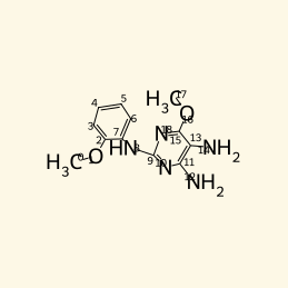 COc1ccccc1Nc1nc(N)c(N)c(OC)n1